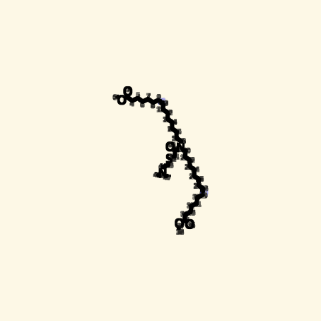 COC(=O)CCCCC/C=C\CCCCCCCCN(CCCCCCCC/C=C\CCCCCC(=O)OC)C(=O)CSCCN(C)C